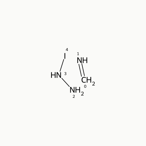 C=N.NNI